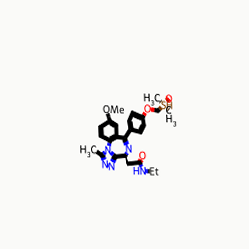 CCNC(=O)C[C@@H]1N=C(c2ccc(OC[SH](C)(C)=O)cc2)c2cc(OC)ccc2-n2c(C)nnc21